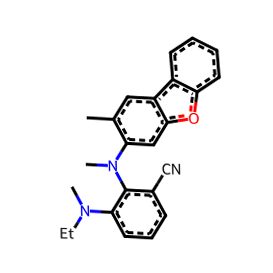 CCN(C)c1cccc(C#N)c1N(C)c1cc2oc3ccccc3c2cc1C